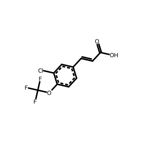 O=C(O)C=Cc1ccc(OC(F)(F)F)c(Cl)c1